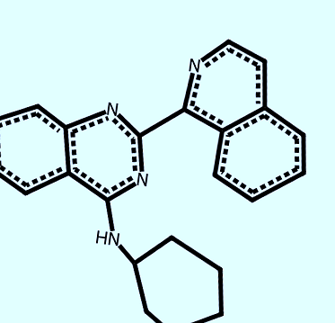 c1ccc2c(-c3nc(NC4CCCCC4)c4ccccc4n3)nccc2c1